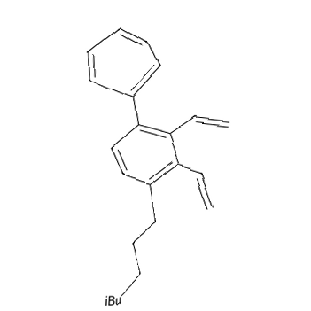 C=Cc1c(CCCC(C)CC)ccc(-c2ccccc2)c1C=C